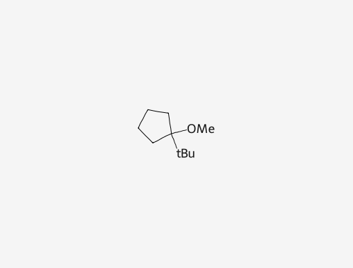 COC1(C(C)(C)C)CCCC1